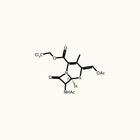 CC(=O)NC1C(=O)N2C(C(=O)OCC(Cl)(Cl)Cl)=C(C)C(=COC(C)=O)S[C@@H]12